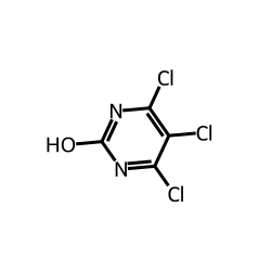 Oc1nc(Cl)c(Cl)c(Cl)n1